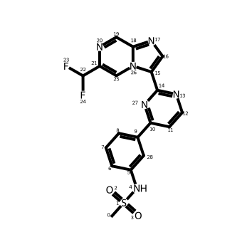 CS(=O)(=O)Nc1cccc(-c2ccnc(-c3cnc4cnc(C(F)F)cn34)n2)c1